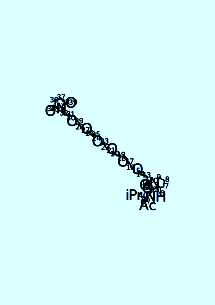 CC(=O)[C@@H](NC(=O)[C@]1(C)CCCN1C(=O)CCOCCOCCOCCOCCOCCOCCN1C(=O)C=CC1=O)C(C)C